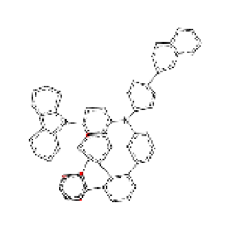 c1ccc(-c2ccccc2-c2c(-c3ccccc3)cccc2-c2cccc(N(c3ccc(-c4ccc5ccccc5c4)cc3)c3ccc(-n4c5ccccc5c5ccccc54)cc3)c2)cc1